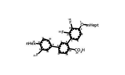 CCCCCCCOc1ccc(-c2cc(-c3ccc(CCCCCC)c(F)c3)ccc2C(=O)O)c(F)c1F